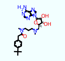 CN(CCCN(C)C(=O)Cc1ccc(C(C)(C)C)cc1)C[C@H]1O[C@@H](n2cnc3c(N)ncnc32)[C@H](O)[C@@H]1O